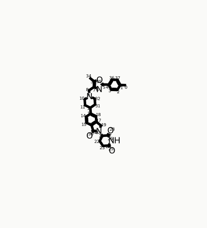 Cc1ccc(-c2nc(CN3CCC(c4ccc5c(c4)CN(C4CCC(=O)NC4=O)C5=O)CC3)c(C)o2)cc1